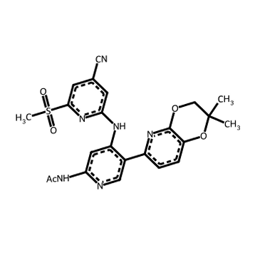 CC(=O)Nc1cc(Nc2cc(C#N)cc(S(C)(=O)=O)n2)c(-c2ccc3c(n2)OCC(C)(C)O3)cn1